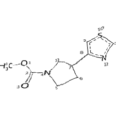 COC(=O)N1CCC(c2cscn2)C1